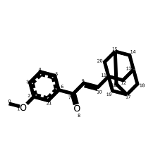 COc1cccc(C(=O)C=CC23CC4CC(CC(C4)C2)C3)c1